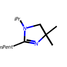 CCCCCC1=NC(C)(C)CN1C(C)C